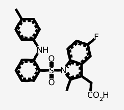 Cc1ccc(Nc2ccccc2S(=O)(=O)n2c(C)c(CC(=O)O)c3cc(F)ccc32)cc1